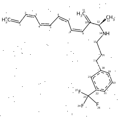 C=C\C=C/C=C\C=C/C=C\C(=C)[C@@H](C)NCCCc1cccc(C(F)(F)F)c1